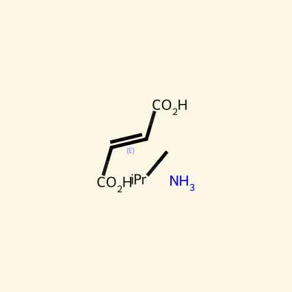 CC(C)C.N.O=C(O)/C=C/C(=O)O